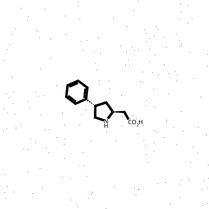 O=C(O)C[C@@H]1C[C@@H](c2ccccc2)CN1